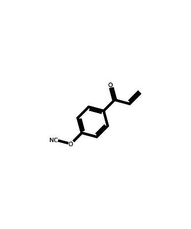 C=CC(=O)c1ccc(OC#N)cc1